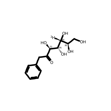 [2H][C@@](O)([C@H](O)CO)[C@H](O)[C@H](O)C(=O)Cc1ccccc1